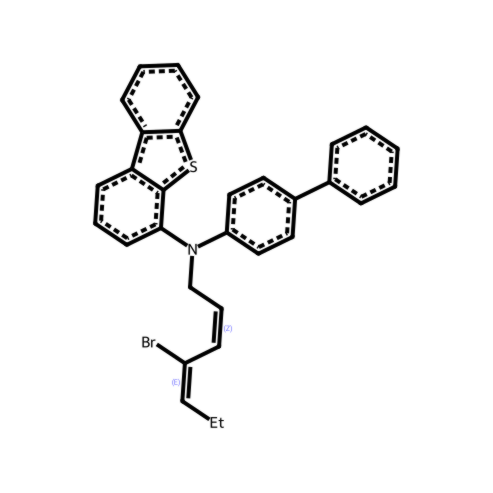 CC/C=C(Br)\C=C/CN(c1ccc(-c2ccccc2)cc1)c1cccc2c1sc1ccccc12